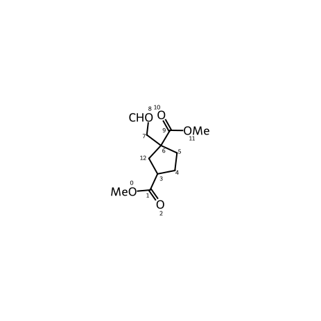 COC(=O)C1CCC(CC=O)(C(=O)OC)C1